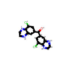 O=C(c1cc(Cl)c2nccnc2c1)c1cc(Cl)c2nccnc2c1